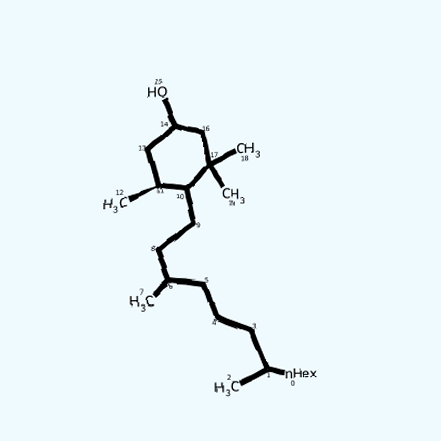 CCCCCCC(C)CCCC(C)CCC1[C@@H](C)CC(O)CC1(C)C